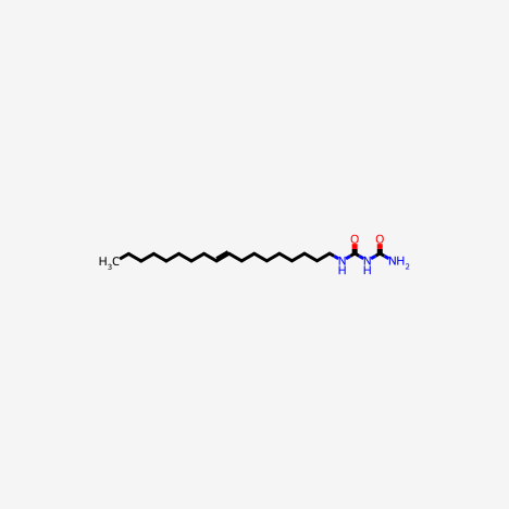 CCCCCCCCC=CCCCCCCCCNC(=O)NC(N)=O